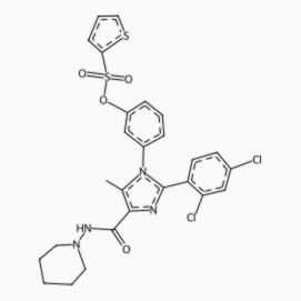 Cc1c(C(=O)NN2CCCCC2)nc(-c2ccc(Cl)cc2Cl)n1-c1cccc(OS(=O)(=O)c2cccs2)c1